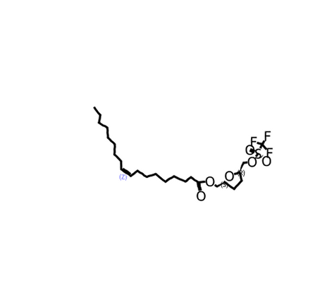 CCCCCCCC/C=C\CCCCCCCC(=O)OC[C@@H]1CC[C@H](COS(=O)(=O)C(F)(F)F)O1